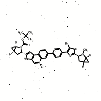 CN1[C@@H]2C[C@@H]2C[C@H]1c1nc(-c2ccc(-c3ccc4c(c3)c(Cl)cc3[nH]c([C@@H]5C[C@H]6C[C@H]6N5C(=O)OC(C)(C)C)nc34)cc2)c(Br)[nH]1